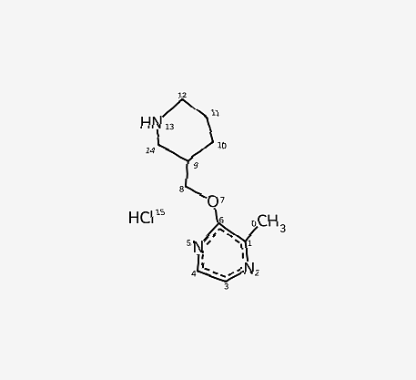 Cc1nccnc1OCC1CCCNC1.Cl